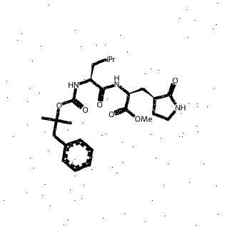 COC(=O)[C@H](C[C@@H]1CCNC1=O)NC(=O)[C@H](CC(C)C)NC(=O)OC(C)(C)Cc1ccccc1